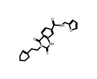 O=C(NCc1ccco1)c1ccc2c(=O)n(CCC3=CCCCC3)c(=S)[nH]c2c1